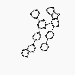 c1ccc(-c2ccc(-c3ccc4oc5ccccc5c4c3-c3nc(-c4ccccc4)nc(-c4ccc(-c5ccc6ccccc6c5)cc4)n3)cc2)cc1